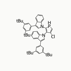 CC(C)(C)c1cc(-c2cn(-c3[pH]cc(Cl)c3-n3cc(-c4cc(C(C)(C)C)cc(C(C)(C)C)c4)c4ccccc43)c3ccccc23)cc(C(C)(C)C)c1